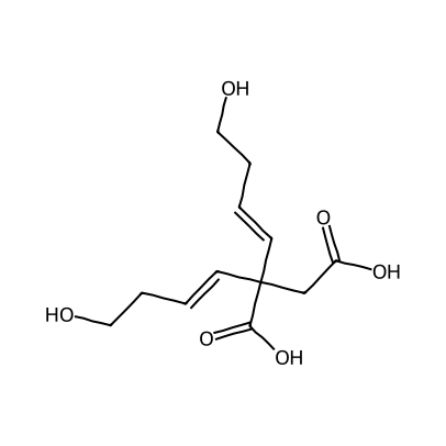 O=C(O)CC(C=CCCO)(C=CCCO)C(=O)O